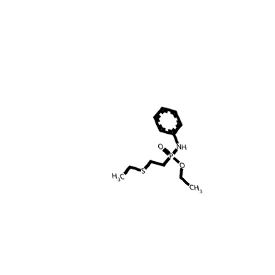 CCOP(=O)(CCSCC)Nc1ccccc1